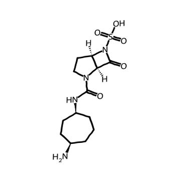 N[C@@H]1CCC[C@H](NC(=O)N2CC[C@@H]3[C@H]2C(=O)N3S(=O)(=O)O)CC1